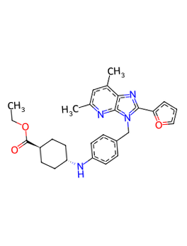 CCOC(=O)[C@H]1CC[C@H](Nc2ccc(Cn3c(-c4ccco4)nc4c(C)cc(C)nc43)cc2)CC1